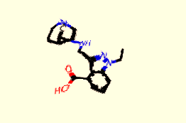 CCn1nc(CNC2CN3CCC2CC3)c2c(C(=O)O)cccc21